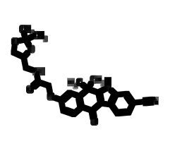 CC1(C)OCC(CNC(=O)COc2ccc3c(c2)C(C)(C)c2[nH]c4cc(C#N)ccc4c2C3=O)O1